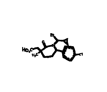 CCC(C1CC1)N1C(=O)[C@@](C)(CC(=O)O)CCC1c1ccc(Cl)cc1